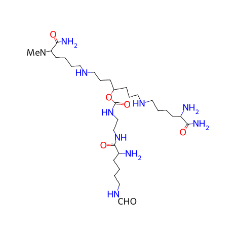 CNC(CCCCNCCCC(CCCNCCCCC(N)C(N)=O)OC(=O)NCCNC(=O)C(N)CCCCNC=O)C(N)=O